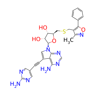 Cc1noc(-c2ccccc2)c1CSC[C@H]1O[C@@H](n2cc(C#Cc3cnc(N)nc3)c3c(N)ncnc32)[C@H](O)[C@@H]1O